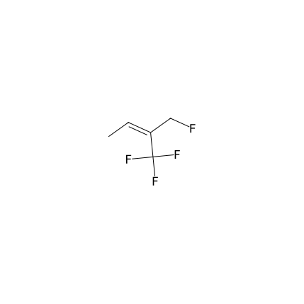 CC=C(CF)C(F)(F)F